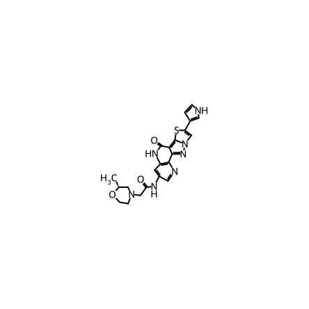 C[C@H]1CN(CC(=O)Nc2cnc3c(c2)[nH]c(=O)c2c3nn3cc(-c4cc[nH]c4)sc23)CCO1